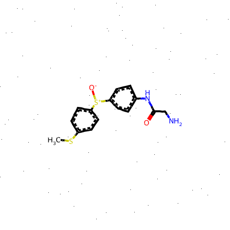 CSc1ccc([S+]([O-])c2ccc(NC(=O)CN)cc2)cc1